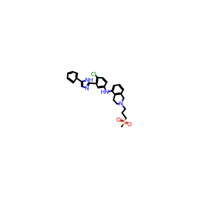 CS(=O)(=O)CCCN1CCc2c(cccc2Nc2ccc(Cl)c(-c3ncc(-c4ccccc4)[nH]3)c2)C1